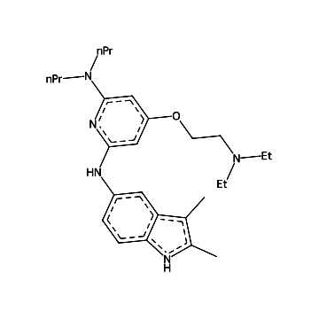 CCCN(CCC)c1cc(OCCN(CC)CC)cc(Nc2ccc3[nH]c(C)c(C)c3c2)n1